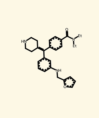 CCN(CC)C(=O)c1ccc(C(=C2CCNCC2)c2cccc(NCc3ccco3)c2)cc1